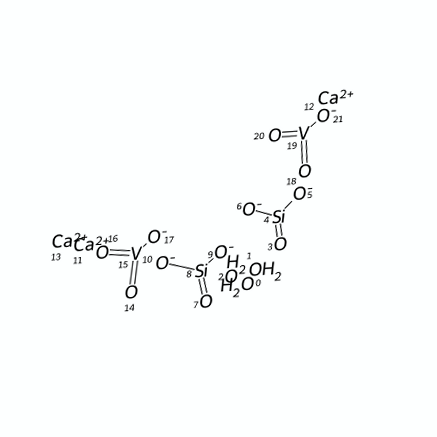 O.O.O.O=[Si]([O-])[O-].O=[Si]([O-])[O-].[Ca+2].[Ca+2].[Ca+2].[O]=[V](=[O])[O-].[O]=[V](=[O])[O-]